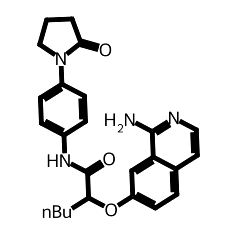 CCCCC(Oc1ccc2ccnc(N)c2c1)C(=O)Nc1ccc(N2CCCC2=O)cc1